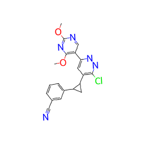 COc1ncc(-c2cc(C3CC3c3cccc(C#N)c3)c(Cl)nn2)c(OC)n1